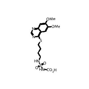 COc1cc2ncnc(SCCCCNS(=O)(=O)NC(=O)O)c2cc1OC